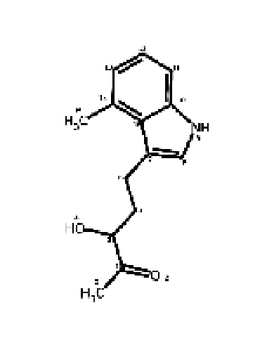 CC(=O)C(O)CCc1c[nH]c2cccc(C)c12